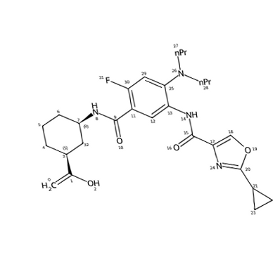 C=C(O)[C@H]1CCC[C@@H](NC(=O)c2cc(NC(=O)c3coc(C4CC4)n3)c(N(CCC)CCC)cc2F)C1